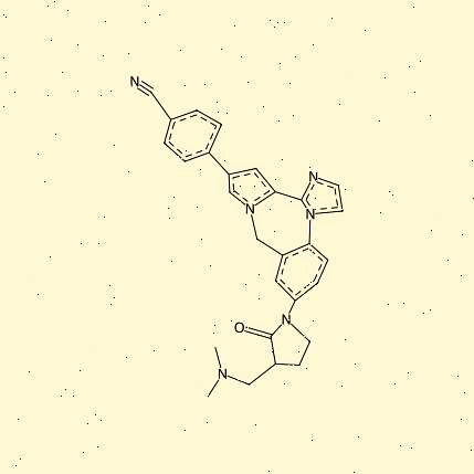 CN(C)CC1CCN(c2ccc3c(c2)Cn2cc(-c4ccc(C#N)cc4)cc2-c2nccn2-3)C1=O